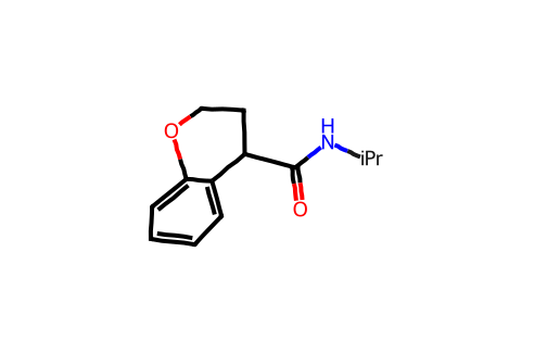 CC(C)NC(=O)C1CCOc2ccccc21